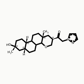 C[C@@]1(O)CC[C@@H]2C3CC[C@]4(C)C[C@@H](C(=O)Cn5cccn5)COC4C3CC[C@@H]2C1